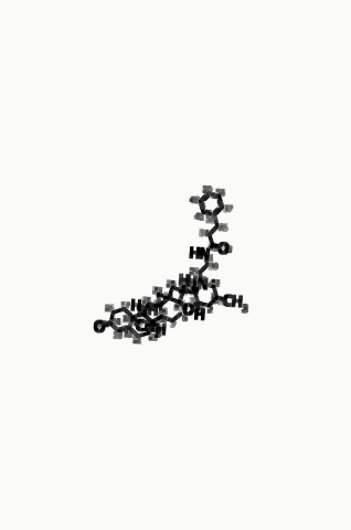 C[C@H]1C[C@H]2O[C@@]34CC[C@H]5[C@@H]6CCC7=CC(=O)CCC7(C)[C@H]6CC56CC63C[C@@H]4[C@@H]2N(CCNC(=O)CCc2ccccc2)C1